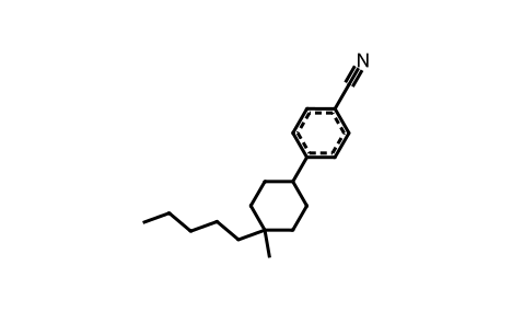 CCCCCC1(C)CCC(c2ccc(C#N)cc2)CC1